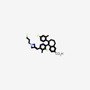 Cc1cc(F)ccc1C1=C(c2ccc(C=C3CN(CCCF)C3)c(C)c2F)c2ccc(C(=O)O)cc2CCC1